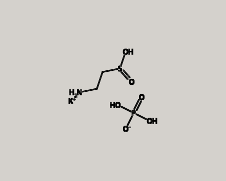 NCCS(=O)O.O=P([O-])(O)O.[K+]